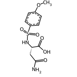 COc1ccc(S(=O)(=O)N[C@@H](CC(N)=O)C(=O)O)cc1